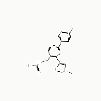 Cn1cc(-c2nc(-c3ccc(F)cc3)ncc2CNC(=O)O)nn1